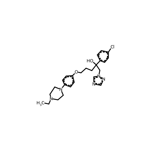 CCN1CCN(c2ccc(OCCCC(O)(Cn3cncn3)c3ccc(Cl)cc3)cc2)CC1